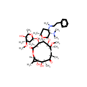 CO[C@]1(C)C[C@H](O[C@H]2[C@H](C)[C@@H](O[C@@H]3O[C@H](C)C[C@@H](N(C)CCc4ccccc4)[C@@H]3N(C)C)[C@@](C)(OC)C[C@@H](C)C(=O)[C@H](C)[C@@H](O)[C@@]3(O)C(C)[C@H]3OC(=O)[C@@H]2C)O[C@@H](C)[C@@H]1O